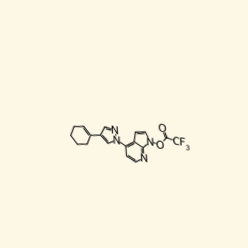 O=C(On1ccc2c(-n3cc(C4=CCCCC4)cn3)ccnc21)C(F)(F)F